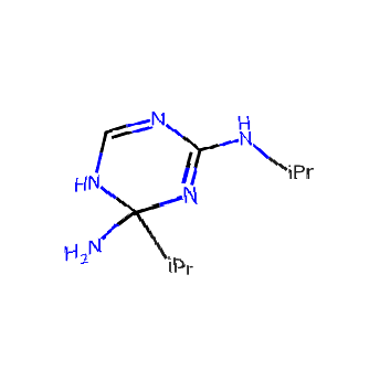 CC(C)NC1=NC(N)(C(C)C)NC=N1